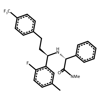 CNC(=O)[C@H](N[C@H](CCc1ccc(C(F)(F)F)cc1)c1cc(C)ccc1F)c1ccccc1